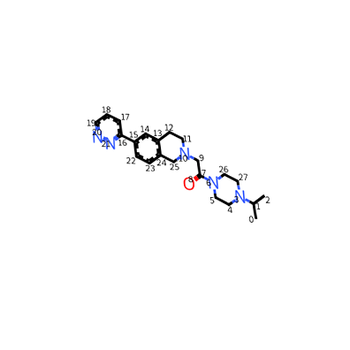 CC(C)N1CCN(C(=O)CN2CCc3cc(-c4cccnn4)ccc3C2)CC1